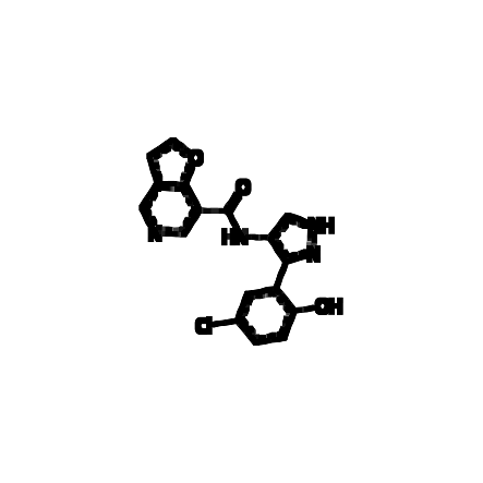 O=C(Nc1c[nH]nc1-c1cc(Cl)ccc1O)c1cncc2ccoc12